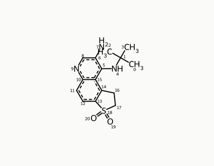 CC(C)(C)Nc1c(N)cnc2ccc3c(c12)CCS3(=O)=O